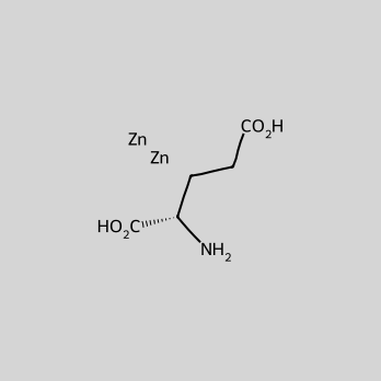 N[C@@H](CCC(=O)O)C(=O)O.[Zn].[Zn]